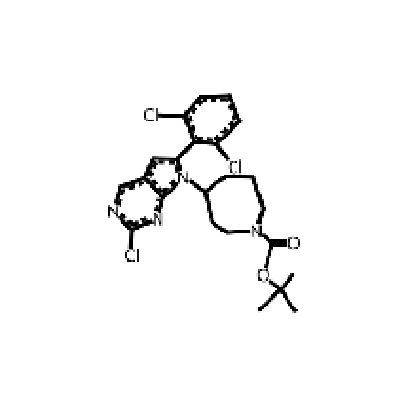 CC(C)(C)OC(=O)N1CCCC(n2c(-c3c(Cl)cccc3Cl)cc3cnc(Cl)nc32)CC1